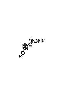 COc1ccc(-c2cnc(Nc3cccc(C(=O)N4CCN(C5CCN(C)CC5)CC4)c3)nc2)cc1